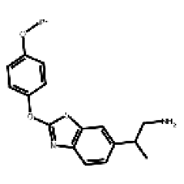 CC(C)Oc1ccc(Oc2nc3ccc(C(C)CN)cc3s2)cc1